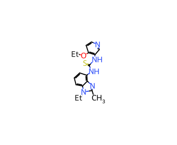 CCOc1ccncc1NC(=S)Nc1cccc2c1nc(C)n2CC